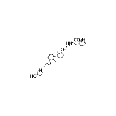 Cc1c(OCCCN[C@@H](Cc2ccccn2)C(=O)O)cccc1-c1cccc(OCCCN2CC[C@@H](O)C2)c1C